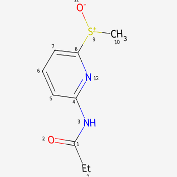 CCC(=O)Nc1cccc([S+](C)[O-])n1